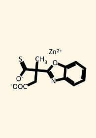 CC(CC(=O)[O-])(C([O-])=S)c1nc2ccccc2o1.[Zn+2]